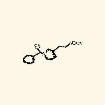 CCCCCCCCCCCCc1ccc[n+](C(CC)c2ccccc2)c1